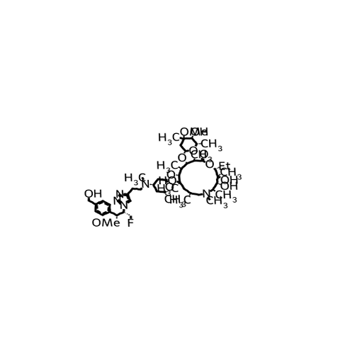 CC[C@H]1OC(=O)[C@H](C)[C@@H](O[C@H]2C[C@@](C)(OC)[C@@H](O)[C@H](C)O2)[C@H](C)[C@@H](O[C@H]2C[C@@H](N(C)CCc3cn([C@H](CF)[C@H](OC)c4ccc(CO)cc4)nn3)C[C@@H](C)O2)[C@](C)(O)C[C@@H](C)CN(C)[C@H](C)[C@@H](O)[C@]1(C)O